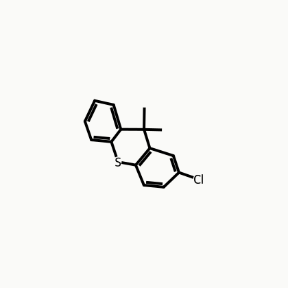 CC1(C)c2ccccc2Sc2ccc(Cl)cc21